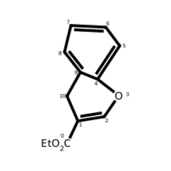 CCOC(=O)C1=COc2ccccc2C1